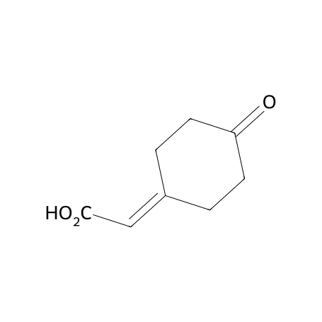 O=C(O)C=C1CCC(=O)CC1